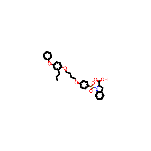 CCCc1cc(Oc2ccccc2)ccc1OCCCCOc1ccc(S(=O)(=O)N2c3ccccc3CC2C(=O)O)cc1